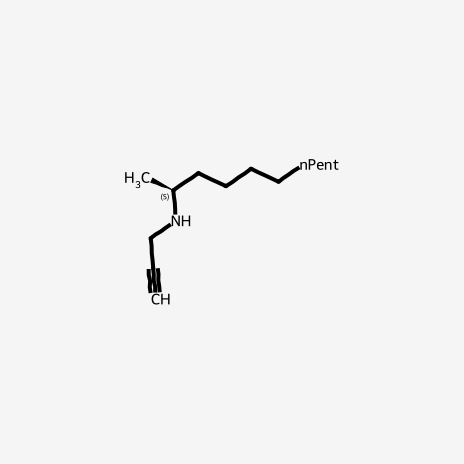 C#CCN[C@@H](C)CCCCCCCCC